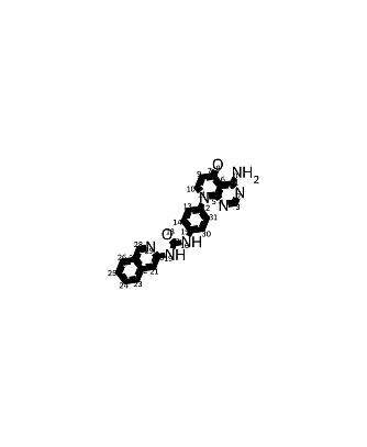 Nc1ncnc2c1c(=O)ccn2-c1ccc(NC(=O)Nc2cc3ccccc3cn2)cc1